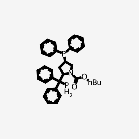 CCCCOC(=O)N1CC(P(c2ccccc2)c2ccccc2)CC1C(P)(c1ccccc1)c1ccccc1